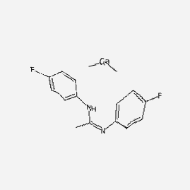 CC(=Nc1ccc(F)cc1)Nc1ccc(F)cc1.[CH3][Ga][CH3]